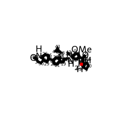 COc1cc(C(=O)N2C[C@H]3CC[C@@H]2[C@@H]3N)cc2nc(-c3cc4ccc(-c5ccc6c(c5)CCC(=O)N6)cc4n3CC3CC3)n(C)c12